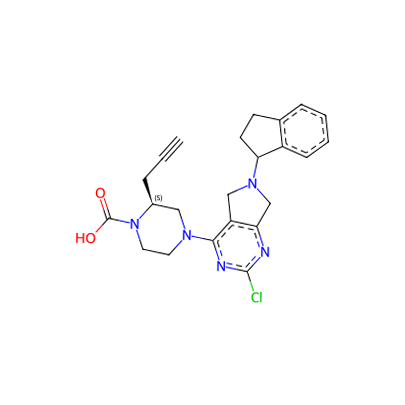 C#CC[C@H]1CN(c2nc(Cl)nc3c2CN(C2CCc4ccccc42)C3)CCN1C(=O)O